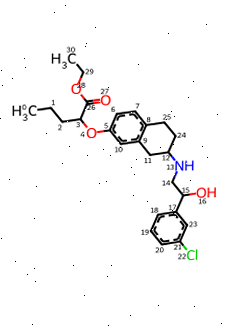 CCCC(Oc1ccc2c(c1)CC(NCC(O)c1cccc(Cl)c1)CC2)C(=O)OCC